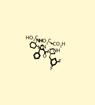 O=C(O)CC(=O)O.O=C(O)N[C@H]1CCCC[C@@H]1n1cnc(C(=O)N2CCNC[C@H]2Cc2cc(F)cc(F)c2)c1-c1ccccc1